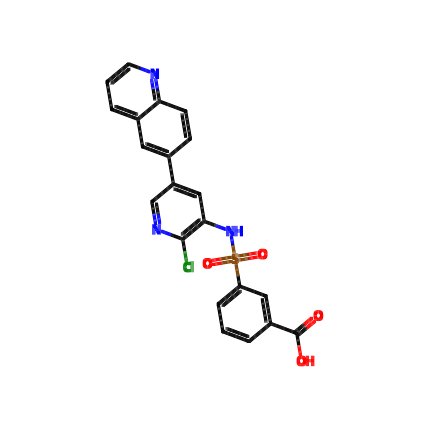 O=C(O)c1cccc(S(=O)(=O)Nc2cc(-c3ccc4ncccc4c3)cnc2Cl)c1